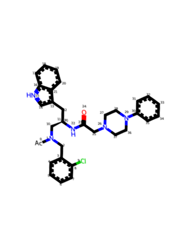 CC(=O)N(Cc1ccccc1Cl)C[C@@H](Cc1c[nH]c2ccccc12)NC(=O)CN1CCN(c2ccccc2)CC1